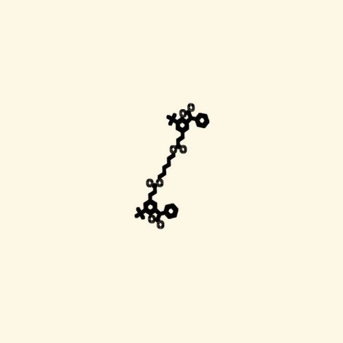 CC(C)(C)c1cc(CCC(=O)OCCCCCCOC(=O)CCc2cc3c(c(C(C)(C)C)c2)OC(=O)C3c2ccccc2)cc2c1OC(=O)C2c1ccccc1